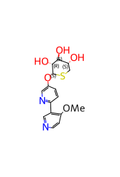 COc1ccncc1-c1ccc(O[C@H]2SC[C@@H](O)[C@H](O)[C@H]2O)cn1